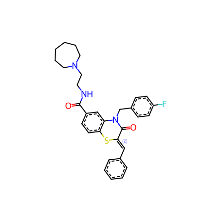 O=C(NCCN1CCCCCC1)c1ccc2c(c1)N(Cc1ccc(F)cc1)C(=O)/C(=C/c1ccccc1)S2